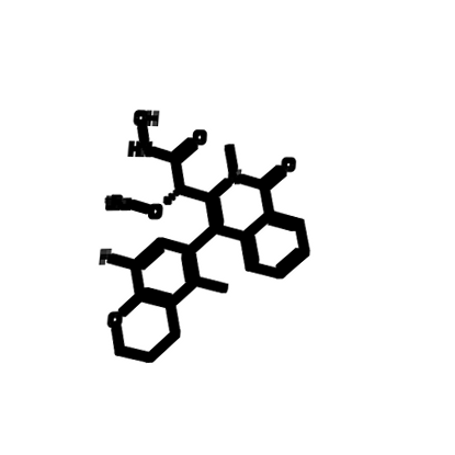 Cc1c(-c2c([C@H](OC(C)(C)C)C(=O)NO)n(C)c(=O)c3ccccc23)cc(F)c2c1CCCO2